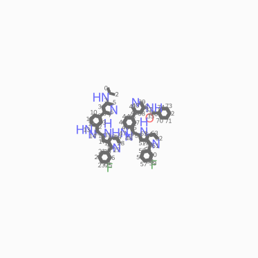 CC(C)Nc1cncc(-c2ccc3[nH]nc(-c4cc5c(-c6cccc(F)c6)nccc5[nH]4)c3c2)c1.O=C(Nc1cncc(-c2ccc3[nH]nc(-c4cc5c(-c6cccc(F)c6)nccc5[nH]4)c3c2)c1)c1ccccc1